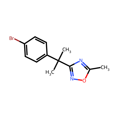 Cc1nc(C(C)(C)c2ccc(Br)cc2)no1